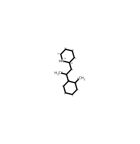 CC1CCCCC1C(C)CC1CCCCN1